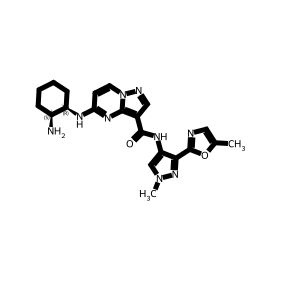 Cc1cnc(-c2nn(C)cc2NC(=O)c2cnn3ccc(N[C@@H]4CCCC[C@@H]4N)nc23)o1